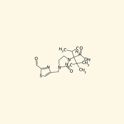 CC(C)C(C(=O)O)(N1CCN(Cc2csc(C=O)n2)C1=O)C(C)(C)C